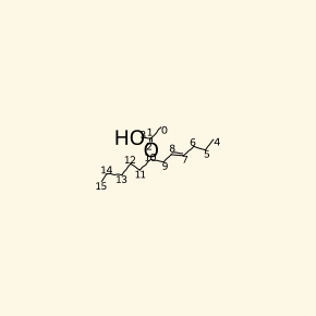 CC(=O)O.CCCC=CCCCCCCC